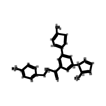 Cc1ccc(-c2cc(C(=O)NCc3ncc(C)cn3)cc(-n3ncnc3C(F)(F)F)c2)nc1